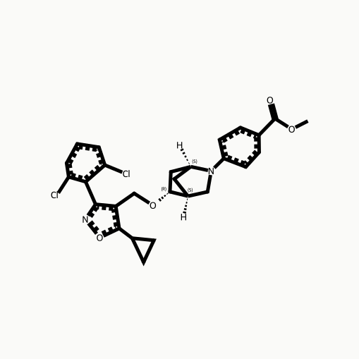 COC(=O)c1ccc(N2C[C@@H]3C[C@H]2C[C@H]3OCc2c(-c3c(Cl)cccc3Cl)noc2C2CC2)cc1